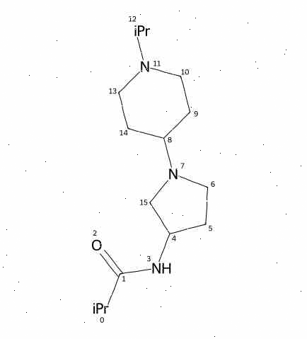 CC(C)C(=O)NC1CCN(C2CCN(C(C)C)CC2)C1